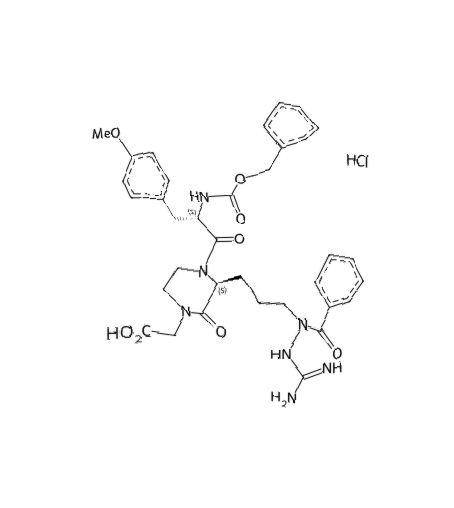 COc1ccc(C[C@H](NC(=O)OCc2ccccc2)C(=O)N2CCN(CC(=O)O)C(=O)[C@@H]2CCCN(NC(=N)N)C(=O)c2ccccc2)cc1.Cl